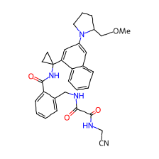 COCC1CCCN1c1cc(C2(NC(=O)c3ccccc3CNC(=O)C(=O)NCC#N)CC2)c2ccccc2c1